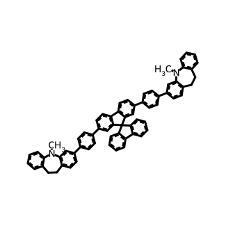 CN1c2ccccc2CCc2ccc(-c3ccc(-c4ccc5c(c4)C4(c6ccccc6-c6ccccc64)c4cc(-c6ccc(-c7ccc8c(c7)N(C)c7ccccc7CC8)cc6)ccc4-5)cc3)cc21